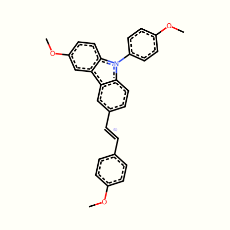 COc1ccc(/C=C/c2ccc3c(c2)c2cc(OC)ccc2n3-c2ccc(OC)cc2)cc1